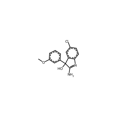 COc1cccc(C2(O)C(N)=Nc3ccc(Cl)cc32)c1